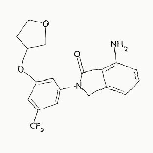 Nc1cccc2c1C(=O)N(c1cc(OC3CCOC3)cc(C(F)(F)F)c1)C2